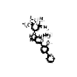 CC1(C)CC(n2nnc3cc(-c4ccc(-c5ccccn5)cc4O)nnc32)CC(C)(C)N1.Cl.Cl